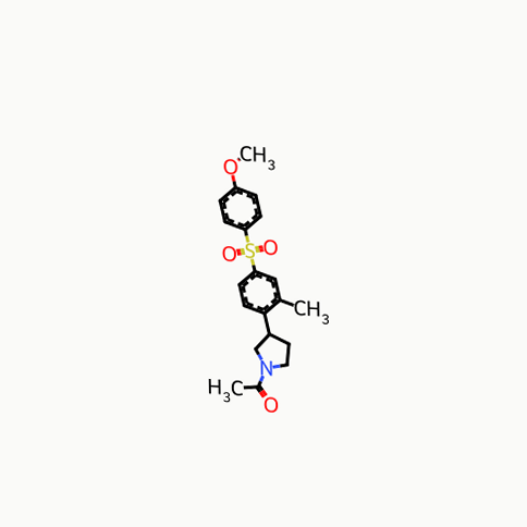 COc1ccc(S(=O)(=O)c2ccc(C3CCN(C(C)=O)C3)c(C)c2)cc1